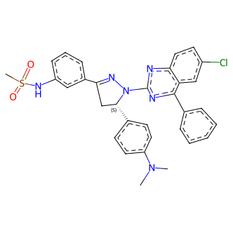 CN(C)c1ccc([C@@H]2CC(c3cccc(NS(C)(=O)=O)c3)=NN2c2nc(-c3ccccc3)c3cc(Cl)ccc3n2)cc1